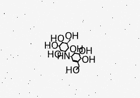 OCC1=C[C@H](N[C@H]2C[C@H](CO)[C@@H](O)[C@H](O)[C@H]2O)[C@H](O)[C@@H](O)[C@@H]1O